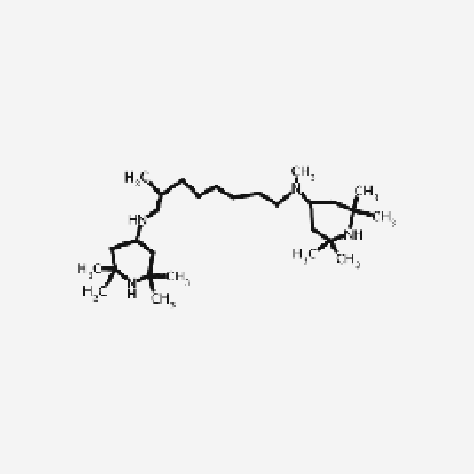 CC(CCCCCCN(C)C1CC(C)(C)NC(C)(C)C1)CNC1CC(C)(C)NC(C)(C)C1